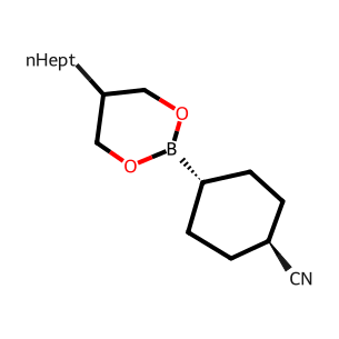 CCCCCCCC1COB([C@H]2CC[C@H](C#N)CC2)OC1